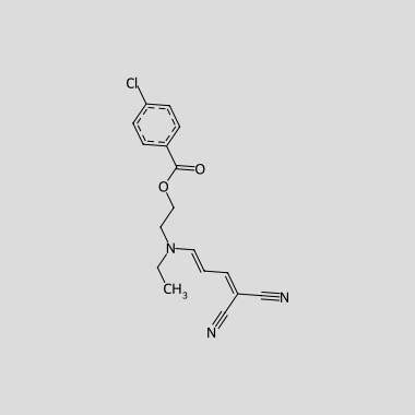 CCN(/C=C/C=C(C#N)C#N)CCOC(=O)c1ccc(Cl)cc1